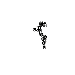 CC1(c2ccc(C#N)cc2F)Oc2cccc(C3CCN(Cc4nc5cc(-c6nnc(C7CC7)[nH]6)cnc5n4CC4CCO4)CC3)c2O1